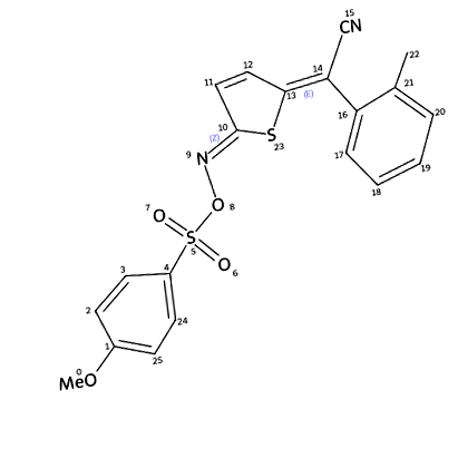 COc1ccc(S(=O)(=O)O/N=C2C=C/C(=C(\C#N)c3ccccc3C)S/2)cc1